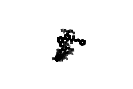 COc1c(CN2O[C@@H](CO)[C@@H]([C@H](C)O)[C@H]2C(=O)N[C@H]2C[C@H]3C[C@@H]([C@@H]2C)C3(C)C)cccc1-c1cc(C(=O)NCCc2ccccc2)cc(N(C)C)c1